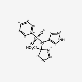 O=C(O)C1(N(c2cn[nH]c2)S(=O)(=O)c2ccccc2)CSC=N1